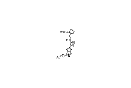 COc1ccccc1CCNc1cc(-c2cnc3c(cnn3C3CN(C(C)=O)C3)c2)ncn1